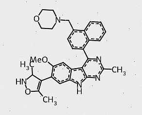 COc1cc2c(cc1C1=C(C)ONC1C)[nH]c1nc(C)nc(-c3ccc(CN4CCOCC4)c4ccccc34)c12